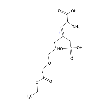 CCOC(=O)COCCC/C(=C/C(N)C(=O)O)CP(=O)(O)O